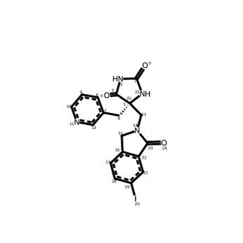 O=C1NC(=O)[C@](Cc2cccnc2)(CN2Cc3ccc(I)cc3C2=O)N1